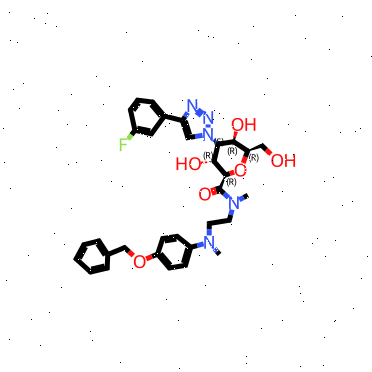 CN(CCN(C)c1ccc(OCc2ccccc2)cc1)C(=O)[C@@H]1O[C@H](CO)[C@H](O)[C@H](n2cc(-c3cccc(F)c3)nn2)[C@H]1O